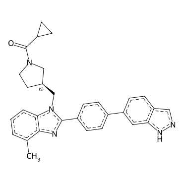 Cc1cccc2c1nc(-c1ccc(-c3ccc4cn[nH]c4c3)cc1)n2C[C@H]1CCN(C(=O)C2CC2)C1